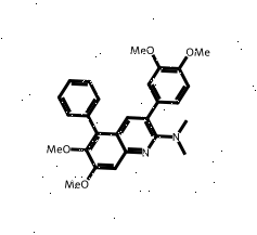 COc1ccc(-c2cc3c(-c4ccccc4)c(OC)c(OC)cc3nc2N(C)C)cc1OC